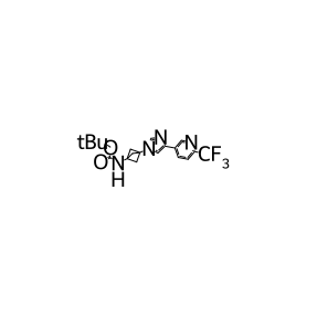 CC(C)(C)OC(=O)NC12CC(n3cnc(-c4ccc(C(F)(F)F)nc4)c3)(C1)C2